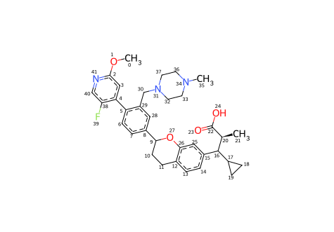 COc1cc(-c2ccc(C3CCc4ccc(C(C5CC5)[C@H](C)C(=O)O)cc4O3)cc2CN2CCN(C)CC2)c(F)cn1